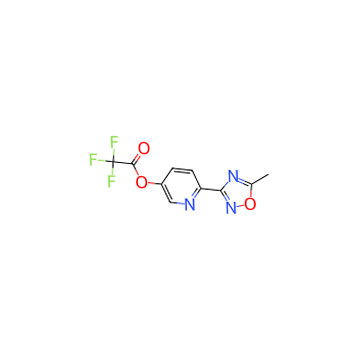 Cc1nc(-c2ccc(OC(=O)C(F)(F)F)cn2)no1